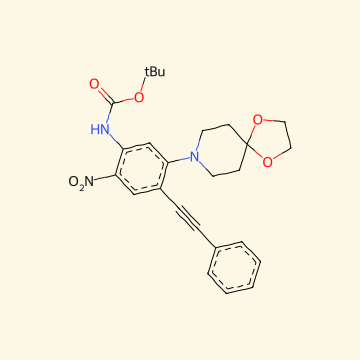 CC(C)(C)OC(=O)Nc1cc(N2CCC3(CC2)OCCO3)c(C#Cc2ccccc2)cc1[N+](=O)[O-]